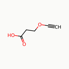 C#COCCC(=O)O